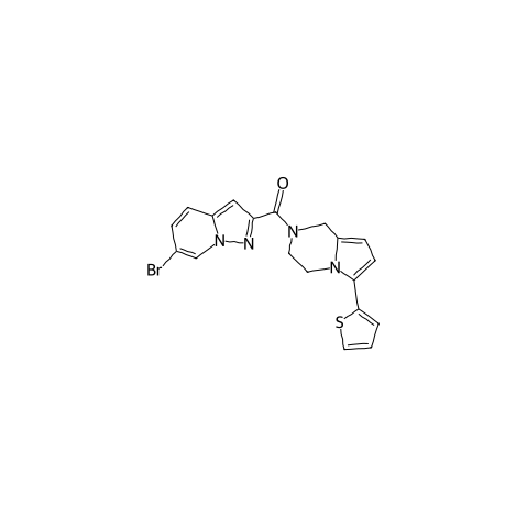 O=C(c1cc2ccc(Br)cn2n1)N1CCn2c(ccc2-c2cccs2)C1